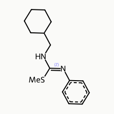 CS/C(=N\c1ccccc1)NCC1CCCCC1